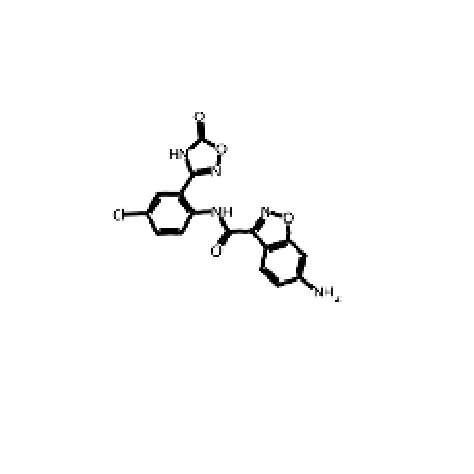 Nc1ccc2c(C(=O)Nc3ccc(Cl)cc3-c3noc(=O)[nH]3)noc2c1